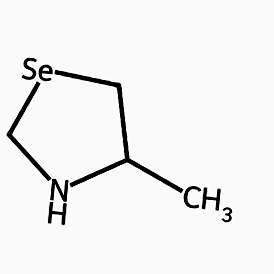 CC1C[Se]CN1